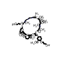 CO[C@@H]1C[C@H](C[C@@H](C)[C@@H]2CC(=O)[C@H](C)/C=C(\C)[C@@H](O)[C@@H](OC)C(=O)[C@H](C)C[C@H](C)/C=C/C=C/C=C(\C)C(OCCCO)C[C@@H]3CC[C@@H](C)[C@@](O)(O3)C(=O)C(=O)N3CCCC[C@H]3C(=O)O2)CC[C@H]1OCCCO